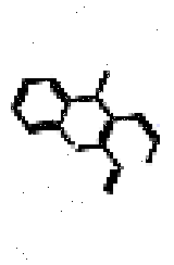 C=CC1=C(/C=C\C)C(C)c2ccccc2S1